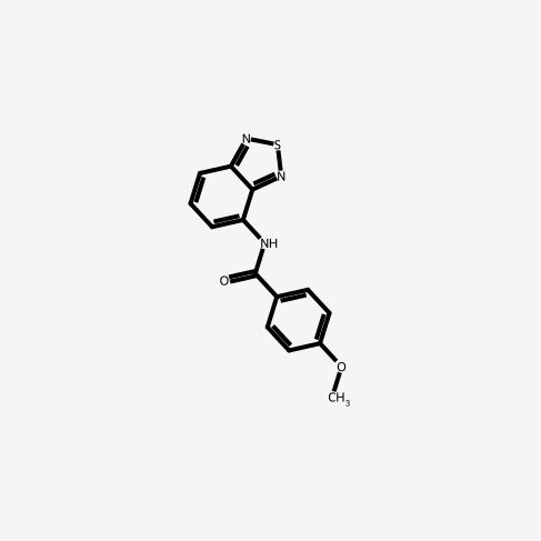 COc1ccc(C(=O)Nc2cccc3nsnc23)cc1